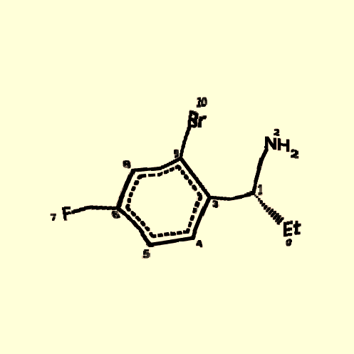 CC[C@@H](N)c1ccc(F)cc1Br